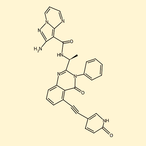 C[C@H](NC(=O)c1c(N)nn2cccnc12)c1nc2cccc(C#Cc3ccc(=O)[nH]c3)c2c(=O)n1-c1ccccc1